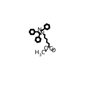 CCOC(=C=O)CCCCCn1c(-c2ccccc2)nc(-c2ccccc2)c1-c1ccccc1